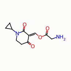 NCC(=O)OC=C1C(=O)CCN(C2CC2)C1=O